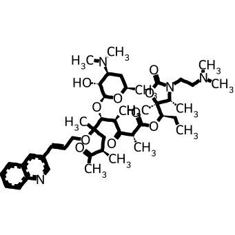 CC[C@@H](OC(=O)[C@H](C)C(=O)[C@H](C)[C@@H](O[C@@H]1O[C@H](C)C[C@H](N(C)C)[C@H]1O)C(C)(C[C@@H](C)C(C)=O)OC/C=C/c1cnc2ccccc2c1)[C@@]1(C)OC(=O)N(CCN(C)C)[C@@H]1C